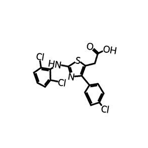 O=C(O)Cc1sc(Nc2c(Cl)cccc2Cl)nc1-c1ccc(Cl)cc1